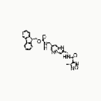 Cc1nonc1C(=O)NCc1cn2ncc(CNC(=O)OCC3c4ccccc4-c4ccccc43)cc2n1